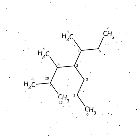 CCCC(C(C)CC)C(C)C(C)C